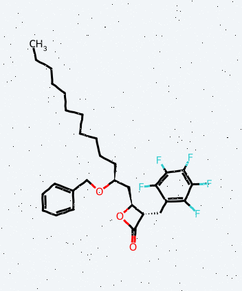 CCCCCCCCCCC[C@@H](C[C@@H]1OC(=O)[C@H]1Cc1c(F)c(F)c(F)c(F)c1F)OCc1ccccc1